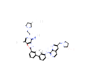 C/N=c1/c2nc(-c3cccc(-c4cccc(Nc5nccc6cc(CN7CC[C@@H](O)C7)cnc56)c4C)c3C)oc2c(C(F)(F)F)cn1CCN1CC[C@@H](C(=O)O)C1